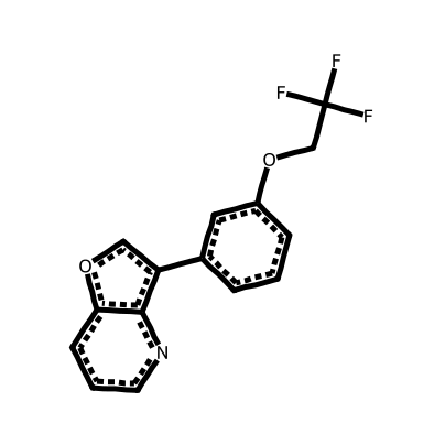 FC(F)(F)COc1cccc(-c2coc3cccnc23)c1